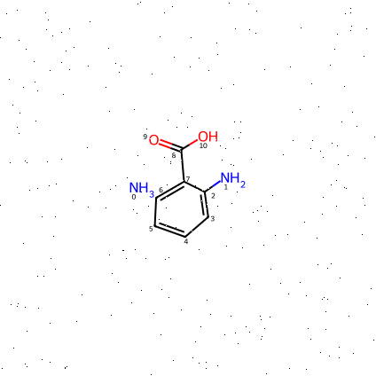 N.Nc1ccccc1C(=O)O